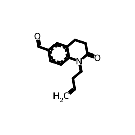 C=CCCN1C(=O)CCc2cc(C=O)ccc21